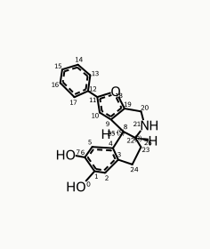 Oc1cc2c(cc1O)[C@H]1c3cc(-c4ccccc4)oc3CN[C@@H]1CC2